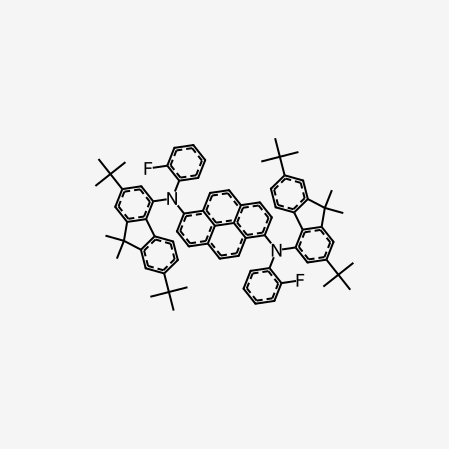 CC(C)(C)c1ccc2c(c1)C(C)(C)c1cc(C(C)(C)C)cc(N(c3ccccc3F)c3ccc4ccc5c(N(c6ccccc6F)c6cc(C(C)(C)C)cc7c6-c6ccc(C(C)(C)C)cc6C7(C)C)ccc6ccc3c4c65)c1-2